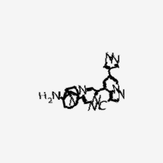 Cn1cc(-c2cc(-c3cnc(N4C5CC6CC4C(N)(C6)C5)cn3)c3c(C#N)cnn3c2)cn1